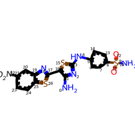 Nc1nc(Nc2ccc(S(N)(=O)=O)cc2)sc1-c1nc2cc([N+](=O)[O-])ccc2s1